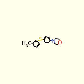 CC1C=C(Sc2ccc(N3CCOCC3)cc2)C=CC1